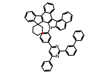 c1ccc(-c2cccc(-c3nc(-c4ccccc4)cc(-c4cccc(-n5c6ccc7ccccc7c6c6c7ccccc7c7c(c65)C5(CCCCC5)c5ccccc5-7)c4)n3)c2)cc1